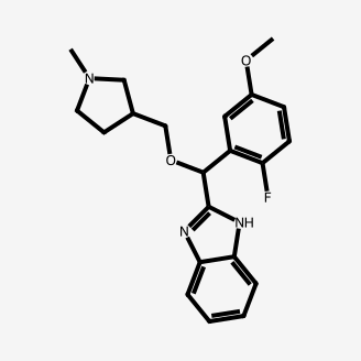 COc1ccc(F)c(C(OCC2CCN(C)C2)c2nc3ccccc3[nH]2)c1